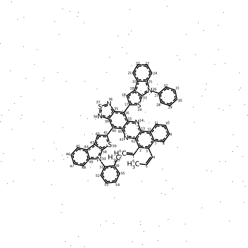 C=Cc1c(/C=C\C)c2ccccc2c2nc3c(-c4cc5c6ccccc6n(-c6ccccc6)c5s4)c4nsnc4c(-c4cc5c6ccccc6n(-c6ccccc6C)c5s4)c3nc12